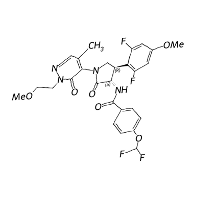 COCCn1ncc(C)c(N2C[C@@H](c3c(F)cc(OC)cc3F)[C@H](NC(=O)c3ccc(OC(F)F)cc3)C2=O)c1=O